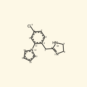 Clc1ccc(CC2=NCCN2)c(-n2cccc2)c1